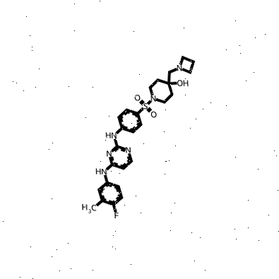 Cc1cc(Nc2ccnc(Nc3ccc(S(=O)(=O)N4CCC(O)(CN5CCC5)CC4)cc3)n2)ccc1F